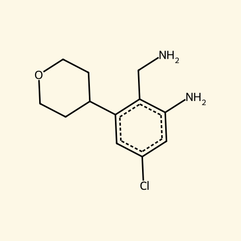 NCc1c(N)cc(Cl)cc1C1CCOCC1